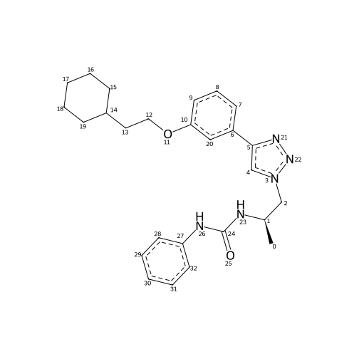 C[C@H](Cn1cc(-c2cccc(OCCC3CCCCC3)c2)nn1)NC(=O)Nc1ccccc1